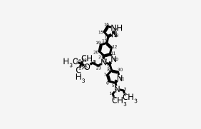 CCN(CC)c1ccc(-c2nc3cc(-c4cc[nH]n4)ccc3n2CCOC(C)(C)C)cn1